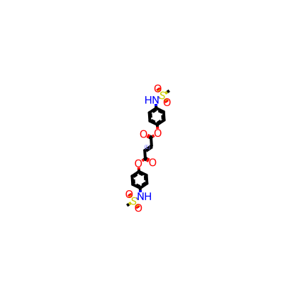 CS(=O)(=O)Nc1ccc(OC(=O)/C=C/C(=O)Oc2ccc(NS(C)(=O)=O)cc2)cc1